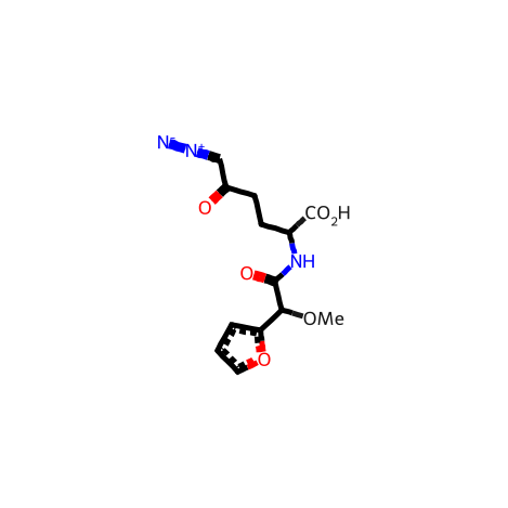 COC(C(=O)NC(CCC(=O)C=[N+]=[N-])C(=O)O)c1ccco1